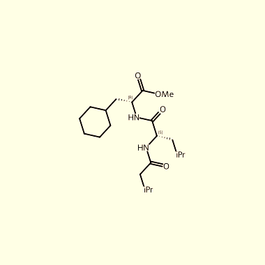 COC(=O)[C@@H](CC1CCCCC1)NC(=O)[C@H](CC(C)C)NC(=O)CC(C)C